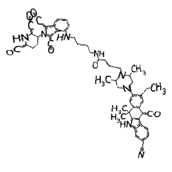 CCc1cc2c(cc1N1CC(C)N(CCCC(=O)NCCCCNc3cccc4c(=C=O)n(C5CCC(=C=O)NC5=C=O)c(=C=O)c34)C(C)C1)C(C)(C)c1[nH]c3cc(C#N)ccc3c1C2=C=O